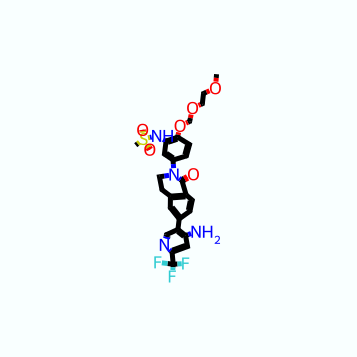 COCCOCOc1ccc(N2CCc3cc(-c4cnc(C(F)(F)F)cc4N)ccc3C2=O)cc1NS(C)(=O)=O